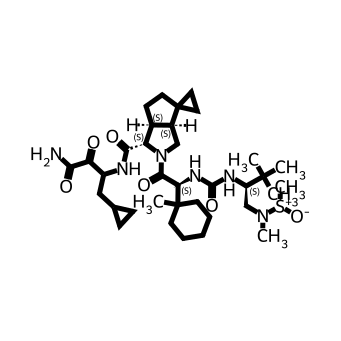 CN(C[C@@H](NC(=O)N[C@H](C(=O)N1C[C@H]2[C@H](CCC23CC3)[C@H]1C(=O)NC(CC1CC1)C(=O)C(N)=O)C1(C)CCCCC1)C(C)(C)C)[S+](C)[O-]